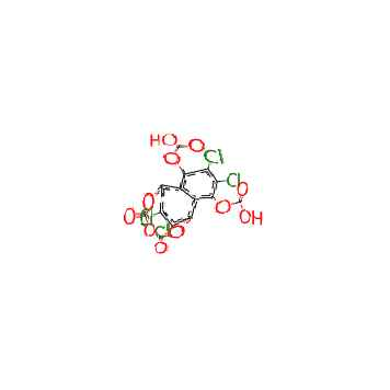 O=C(O)Oc1c(Cl)c(Cl)c(OC(=O)O)c2c3oc(=O)oc(=O)oc(c(Cl)c3Cl)c12